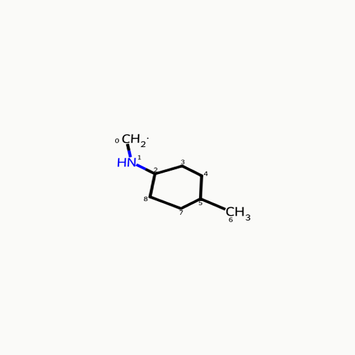 [CH2]NC1CCC(C)CC1